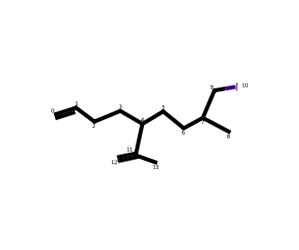 C=CCCC(CCC(C)CI)C(=C)C